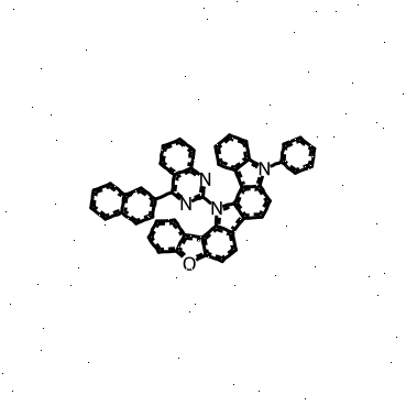 c1ccc(-n2c3ccccc3c3c2ccc2c4ccc5oc6ccccc6c5c4n(-c4nc(-c5ccc6ccccc6c5)c5ccccc5n4)c23)cc1